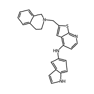 c1ccc2c(c1)CCN(Cc1cc3c(Nc4ccc5[nH]ccc5c4)ccnc3s1)C2